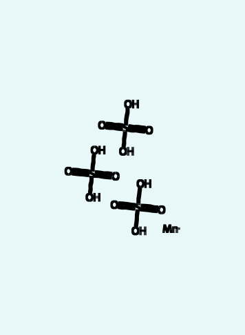 O=S(=O)(O)O.O=S(=O)(O)O.O=S(=O)(O)O.[Mn]